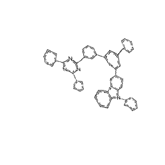 c1ccc(-c2cc(-c3cccc(-c4nc(-c5ccccc5)nc(-c5ccccc5)n4)c3)cc(-c3ccc4c(c3)c3ccccc3n4-c3ccccc3)c2)cc1